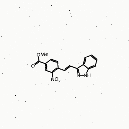 COC(=O)c1ccc(C=Cc2n[nH]c3ccccc23)c([N+](=O)[O-])c1